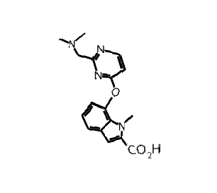 CN(C)Cc1nccc(Oc2cccc3cc(C(=O)O)n(C)c23)n1